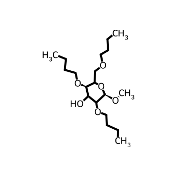 CCCCOCC1O[C@@H](OC)C(OCCCC)C(O)[C@H]1OCCCC